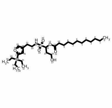 CCCCCCCCCCCC(=O)OC(CCO)S(=O)(=O)NCCc1coc([Si](CC)(CC)CC)c1